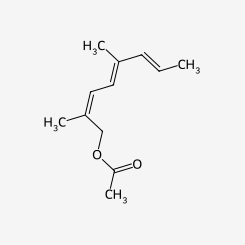 CC=CC(C)=CC=C(C)COC(C)=O